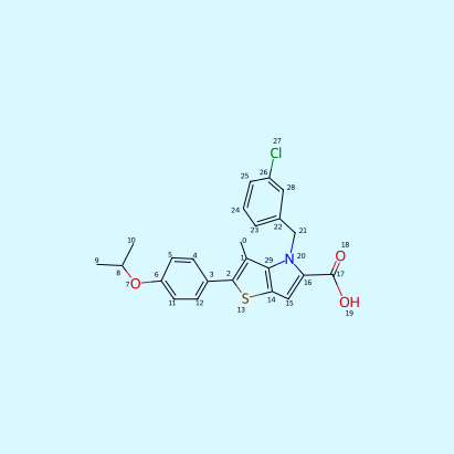 Cc1c(-c2ccc(OC(C)C)cc2)sc2cc(C(=O)O)n(Cc3cccc(Cl)c3)c12